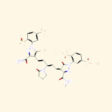 CNC(=O)C1=NN(c2cc(S(=O)(=O)O)ccc2S(=O)(=O)O)C(=O)\C1=C/C=C(/C=C/c1c(C(=O)NC)nn(-c2cc(S(=O)(=O)O)ccc2S(=O)(=O)O)c1O)N1CCCC1=O